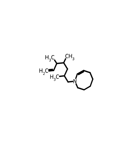 C=CC(C)C(C)CC(C)CN1C=CCCCCC1